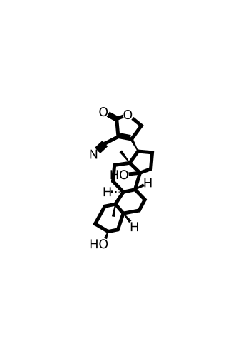 C[C@]12CC[C@H](O)C[C@H]1CC[C@@H]1[C@@H]2CC[C@]2(C)[C@@H](C3=C(C#N)C(=O)OC3)CCC12O